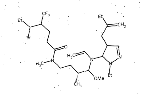 C=CN(C(OC)[C@H](C)CCN(C)C(=O)CCC(C(Br)CC)C(F)(F)F)C1C(CC(=C)CC)C=NN1CC